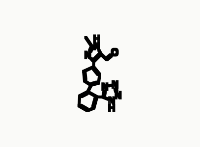 Cc1nc(-c2ccc(-c3ccccc3-c3nnn[nH]3)cc2)c(C=O)[nH]1